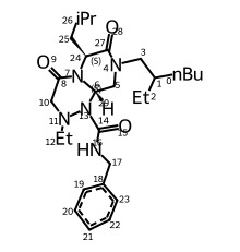 CCCCC(CC)CN1C[C@H]2N(C(=O)CN(CC)N2C(=O)NCc2ccccc2)[C@@H](CC(C)C)C1=O